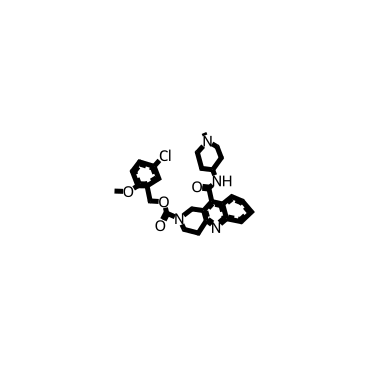 COc1ccc(Cl)cc1COC(=O)N1CCc2nc3ccccc3c(C(=O)NC3CCN(C)CC3)c2C1